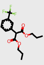 CCCOC(=O)C(C(=O)OCCC)c1cccc(C(F)(F)F)c1